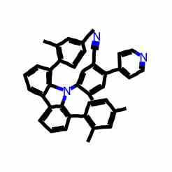 Cc1ccc(-c2cccc3c4cccc(-c5ccc(C)cc5C)c4n(-c4cc(C#N)c(-c5ccncc5)cc4C)c23)c(C)c1